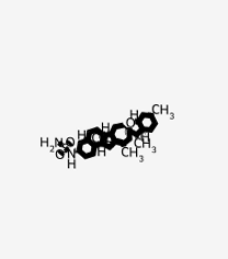 CC1=C2C[C@H]3[C@@H](CC[C@@H]4C[C@@H](NS(N)(=O)=O)CC[C@@]43C)[C@@H]2CC[C@@]2(C1)O[C@@H]1C[C@H](C)CC[C@H]1[C@H]2C